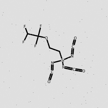 O=C=N[Si](CCOC(F)(F)C(F)F)(N=C=O)N=C=O